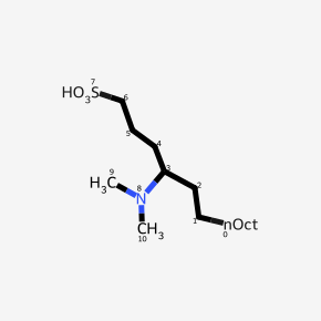 CCCCCCCCCCC(CCCS(=O)(=O)O)N(C)C